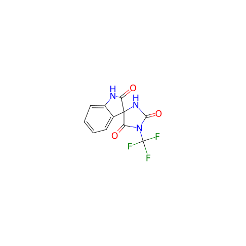 O=C1NC2(C(=O)Nc3ccccc32)C(=O)N1C(F)(F)F